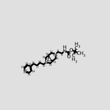 CC(C)(C)OC(=O)NCCN1CC2CN(CCCCc3ccncc3)CC(C1)O2